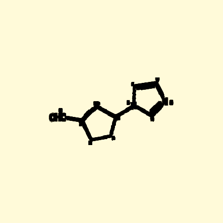 O=CC1CCC(n2ccnc2)C1